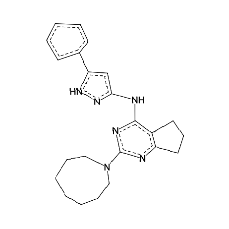 c1ccc(-c2cc(Nc3nc(N4CCCCCCC4)nc4c3CCC4)n[nH]2)cc1